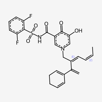 C=C(C1=CCCC=C1)/C(=C\C=C/C)Cn1cc(O)c(=O)c(C(=O)NS(=O)(=O)c2c(F)cccc2F)c1